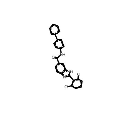 O=C(Nc1ccc(-c2ccccc2)cc1)c1ccc2nc(-c3c(Cl)cccc3Cl)[nH]c2c1